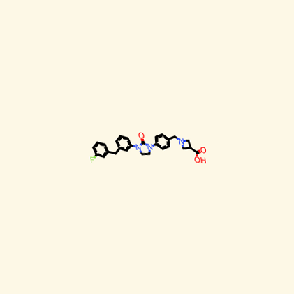 O=C(O)C1CN(Cc2ccc(N3CCN(c4cccc(Cc5cccc(F)c5)c4)C3=O)cc2)C1